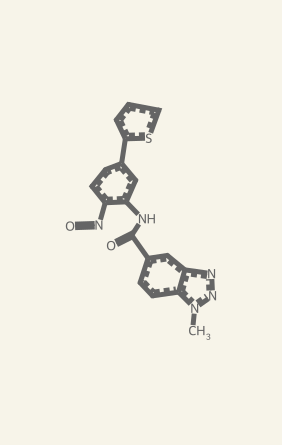 Cn1nnc2cc(C(=O)Nc3cc(-c4cccs4)ccc3N=O)ccc21